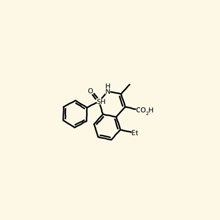 CCc1cccc2c1C(C(=O)O)=C(C)N[SH]2(=O)c1ccccc1